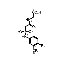 O=C(O)CNC(=O)CS(=O)(=O)Nc1ccc(F)c(C(F)(F)F)c1